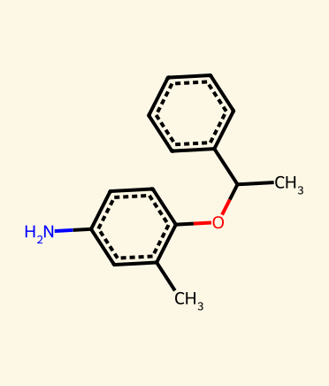 Cc1cc(N)ccc1OC(C)c1ccccc1